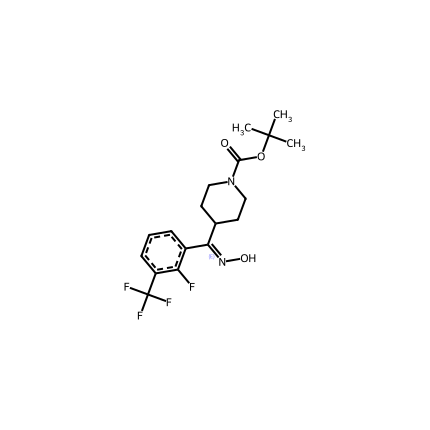 CC(C)(C)OC(=O)N1CCC(/C(=N\O)c2cccc(C(F)(F)F)c2F)CC1